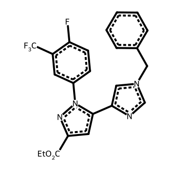 CCOC(=O)c1cc(-c2cn(Cc3ccccc3)cn2)n(-c2ccc(F)c(C(F)(F)F)c2)n1